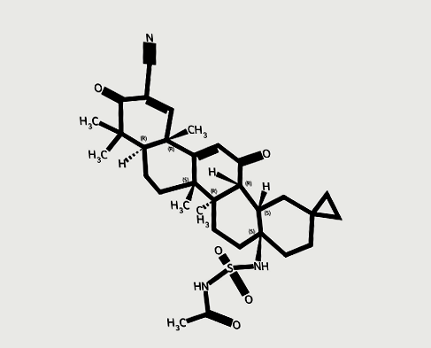 CC(=O)NS(=O)(=O)N[C@]12CCC3(CC3)C[C@H]1[C@H]1C(=O)C=C3[C@@]4(C)C=C(C#N)C(=O)C(C)(C)[C@@H]4CC[C@@]3(C)[C@]1(C)CC2